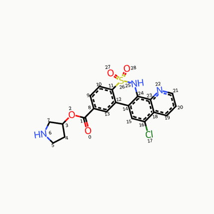 O=C(OC1CCNC1)c1ccc2c(c1)-c1cc(Cl)c3cccnc3c1NS2(=O)=O